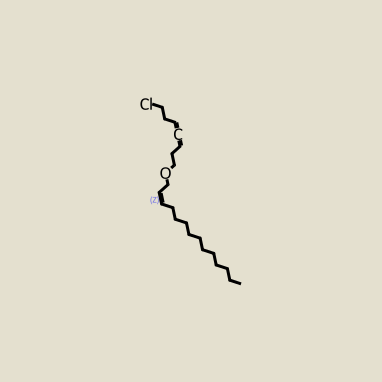 CCCCCCCCCCC/C=C\COCCC=C=CCCCl